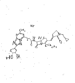 Cc1cc(SCC(=O)N[C@@H]2C(=O)N3C(C(=O)O)=C(C=C4CCN(CC5CC5)C4=O)CS[C@H]23)n2nc(-c3ccc(O)c(O)c3)nc2n1.[Na]